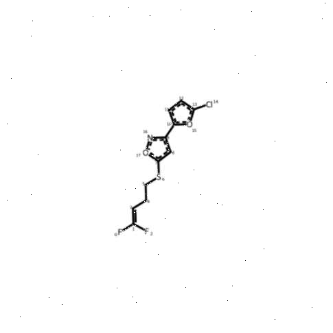 FC(F)=CCCSc1cc(-c2ccc(Cl)o2)no1